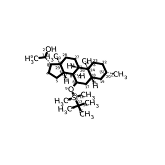 CC(O)[C@H]1CC[C@H]2[C@@H]3C(O[Si](C)(C)C(C)(C)C)C[C@H]4C[C@@H](C)CC[C@]4(C)[C@H]3CC[C@]12C